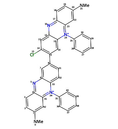 CNc1ccc2nc3cc(-c4cc5c(cc4Cl)nc4ccc(NC)cc4[n+]5-c4ccccc4)ccc3[n+](-c3ccccc3)c2c1